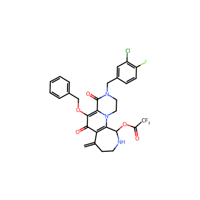 C=C1CCNC(OC(=O)C(F)(F)F)c2c1c(=O)c(OCc1ccccc1)c1n2CCN(Cc2ccc(F)c(Cl)c2)C1=O